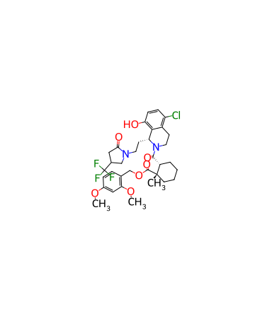 COc1ccc(COC(=O)[C@@]2(C)CCCC[C@H]2C(=O)N2CCc3c(Cl)ccc(O)c3[C@H]2CCN2CC(C(F)(F)F)CC2=O)c(OC)c1